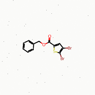 O=C(OCc1ccccc1)c1cc(Br)c(Br)s1